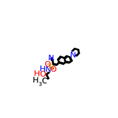 CCC(O)CNS(=O)(=O)/C(C#N)=C/c1ccc2cc(N3CCCCC3)ccc2c1